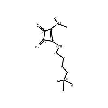 CN(C)c1c(NCCCCC(C)(C)C)c(=S)c1=O